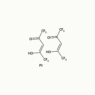 O=C(/C=C(\O)C(F)(F)F)C(F)(F)F.O=C(/C=C(\O)C(F)(F)F)C(F)(F)F.[Pt]